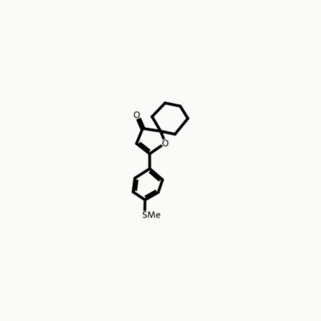 CSc1ccc(C2=CC(=O)C3(CCCCC3)O2)cc1